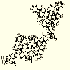 C[Si](C)(C)c1ccc(N2c3ccc([Si](C)(C)C)cc3B3c4cc(-c5ccc6c(c5)B5c7cc([Si](C)(C)C)ccc7N(c7ccc([Si](C)(C)Cc8ccc([Si](c9ccccc9)(c9ccccc9)c9cc%10c%11c(c9)N(c9ccccc9)c9c(ccc%12c9oc9ccccc9%12)B%11c9ccc%11c(oc%12ccccc%12%11)c9N%10c9ccccc9)cc8)cc7)c7cccc(c75)N6c5ccccc5)ccc4N(c4ccccc4)c4cccc2c43)cc1